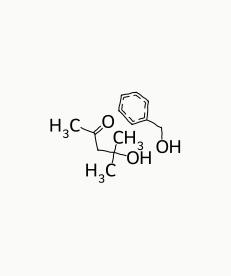 CC(=O)CC(C)(C)O.OCc1ccccc1